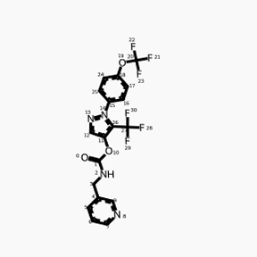 O=C(NCc1cccnc1)Oc1cnn(-c2ccc(OC(F)(F)F)cc2)c1C(F)(F)F